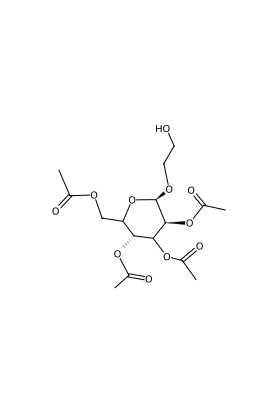 CC(=O)OCC1O[C@@H](OCCO)[C@@H](OC(C)=O)C(OC(C)=O)[C@@H]1OC(C)=O